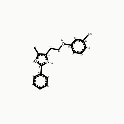 Cc1oc(-c2ccccc2)nc1CCOc1cccc(I)c1